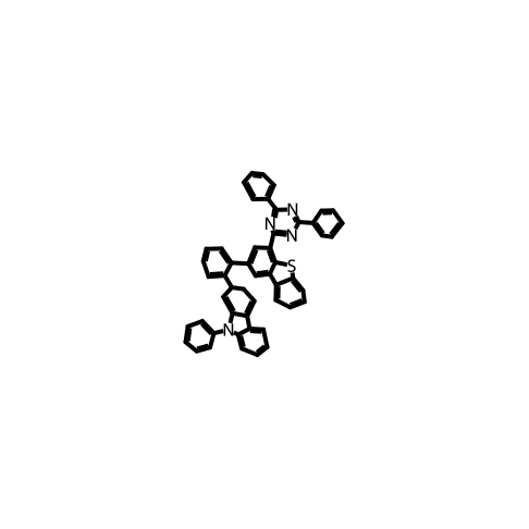 C1=c2c(n(-c3ccccc3)c3ccccc23)=CC(c2ccccc2-c2cc(-c3nc(-c4ccccc4)nc(-c4ccccc4)n3)c3sc4ccccc4c3c2)C1